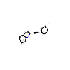 Oc1cccc(C#Cc2ccc3ccc(Br)cc3n2)c1